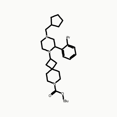 CC(C)c1ccccc1C1CN(CC2CCCC2)CCN1C1CC2(CCN(C(=O)OC(C)(C)C)CC2)C1